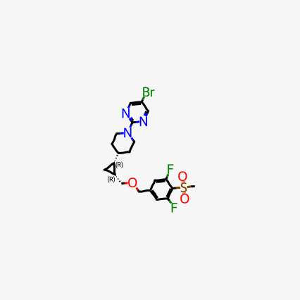 CS(=O)(=O)c1c(F)cc(COC[C@@H]2C[C@@H]2C2CCN(c3ncc(Br)cn3)CC2)cc1F